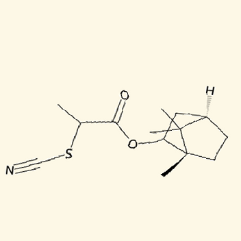 CC(SC#N)C(=O)OC1C[C@H]2CC[C@@]1(C)C2(C)C